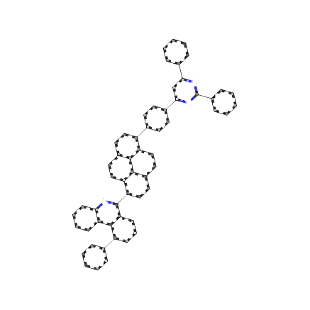 c1ccc(-c2cc(-c3ccc(-c4ccc5ccc6c(-c7nc8ccccc8c8c(-c9ccccc9)cccc78)ccc7ccc4c5c76)cc3)nc(-c3ccccc3)n2)cc1